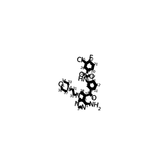 Nc1ncnc2c1c(C(=O)c1cccc(NS(=O)(=O)c3ccc(F)c(Cl)c3)c1)cn2CCN1CCOCC1